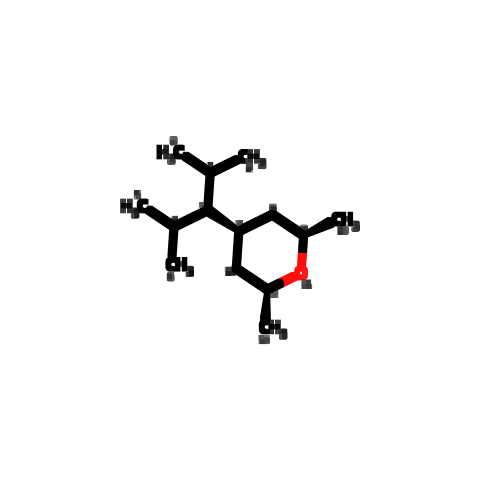 CC(C)C(C(C)C)[C@H]1C[C@@H](C)O[C@@H](C)C1